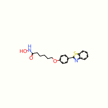 O=C(CCCCCOc1ccc(-c2nc3ccccc3s2)cc1)NO